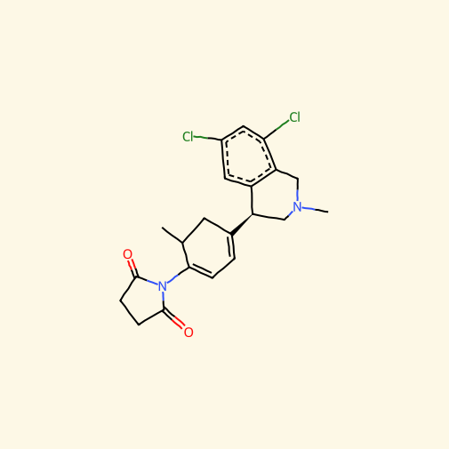 CC1CC([C@@H]2CN(C)Cc3c(Cl)cc(Cl)cc32)=CC=C1N1C(=O)CCC1=O